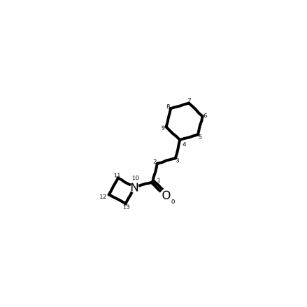 O=C(CCC1CCCCC1)N1CCC1